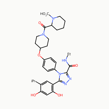 CCNC(=O)c1nnc(-c2cc(C(C)C)c(O)cc2O)n1-c1ccc(OC2CCN(C(=O)C3CCCCN3C(=O)O)CC2)cc1